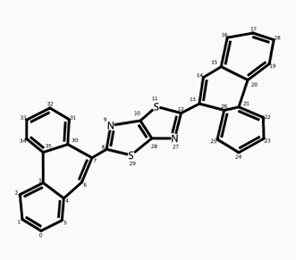 c1ccc2c(c1)cc(-c1nc3sc(-c4cc5ccccc5c5ccccc45)nc3s1)c1ccccc12